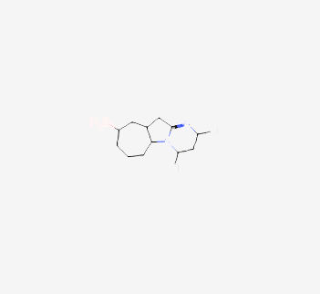 BC1CCCC2C(CC3=NC(C)CC(C)N32)C1